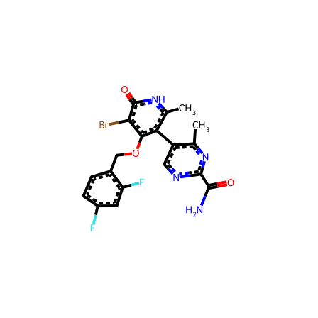 Cc1nc(C(N)=O)ncc1-c1c(C)[nH]c(=O)c(Br)c1OCc1ccc(F)cc1F